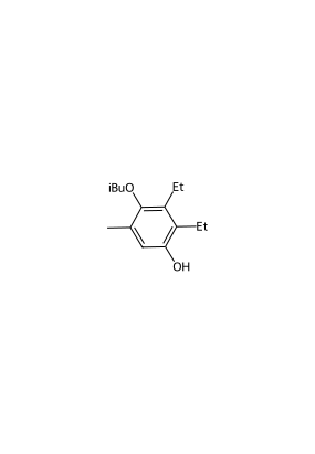 CCc1c(O)cc(C)c(OCC(C)C)c1CC